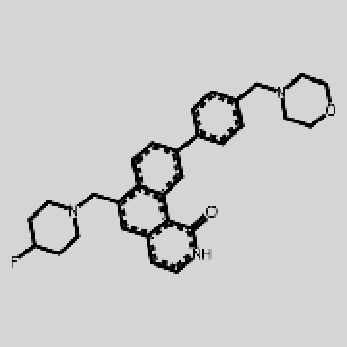 O=c1[nH]ccc2cc(CN3CCC(F)CC3)c3ccc(-c4ccc(CN5CCOCC5)cc4)cc3c12